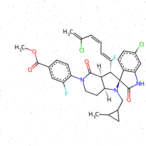 C=C(Cl)/C=C\C=C(/F)[C@H]1[C@@H]2C(=O)N(c3ccc(C(=O)OC)cc3F)CC[C@@H]2N(CC2CC2C)[C@@]12C(=O)Nc1cc(Cl)ccc12